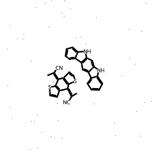 CC(C#N)=c1c2ccsc2c(=C(C)C#N)c2ccsc12.c1ccc2c(c1)[nH]c1cc3[nH]c4ccccc4c3cc12